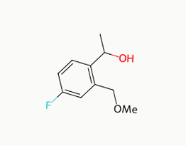 COCc1cc(F)ccc1C(C)O